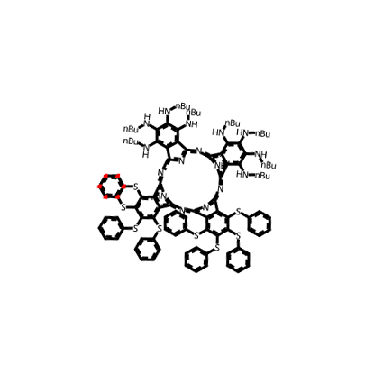 CCCCNc1c(NCCCC)c(NCCCC)c2c(c1NCCCC)-c1nc-2nc2[nH]c(nc3nc(nc4[nH]c(n1)c1c(NCCCC)c(NCCCC)c(NCCCC)c(NCCCC)c41)-c1c(Sc4ccccc4)c(Sc4ccccc4)c(Sc4ccccc4)c(Sc4ccccc4)c1-3)c1c(Sc3ccccc3)c(Sc3ccccc3)c(Sc3ccccc3)c(Sc3ccccc3)c21